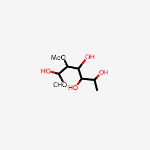 COC(C(O)C=O)C(O)C(O)C(C)O